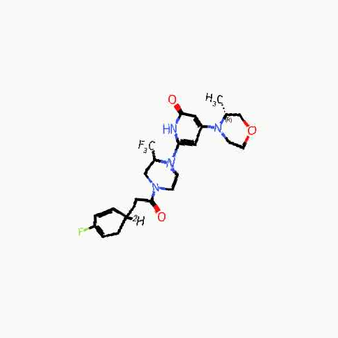 [2H]C1(CC(=O)N2CCN(c3cc(N4CCOC[C@H]4C)cc(=O)[nH]3)C(C(F)(F)F)C2)C=CC(F)=CC1